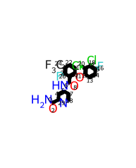 NC(=O)c1cc(NC(=O)c2c(Oc3ccc(F)c(Cl)c3Cl)ccc(C(F)(F)F)c2F)ccn1